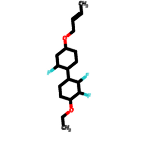 CC=CCOC1CCC(C2CCC(OCC)C(F)C2F)C(F)C1